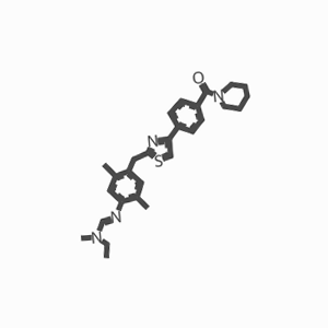 CCN(C)C=Nc1cc(C)c(Cc2nc(-c3ccc(C(=O)N4CCCCC4)cc3)cs2)cc1C